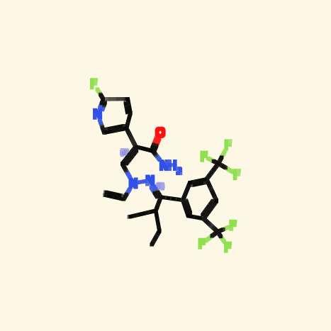 C=CN(/C=C(\C(N)=O)c1ccc(F)nc1)/N=C(/c1cc(C(F)(F)F)cc(C(F)(F)F)c1)C(C)CC